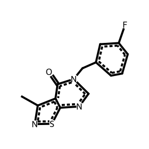 Cc1nsc2ncn(Cc3cccc(F)c3)c(=O)c12